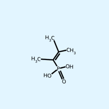 CC(C)=C(C)P(=O)(O)O